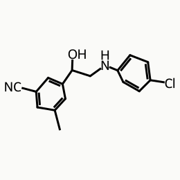 Cc1cc(C#N)cc(C(O)CNc2ccc(Cl)cc2)c1